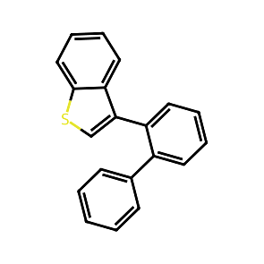 c1ccc(-c2ccccc2-c2csc3ccccc23)cc1